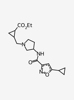 CCOC(=O)C1CC1CN1CCC(NC(=O)c2cc(C3CC3)on2)C1